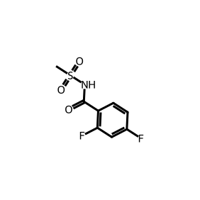 CS(=O)(=O)NC(=O)c1ccc(F)cc1F